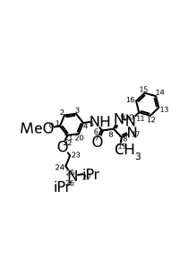 COc1ccc(NC(=O)c2nn(-c3ccccc3)nc2C)cc1OCCN(C(C)C)C(C)C